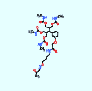 CNC(=O)OCC(COC(=O)NC)C(c1cccc(OCC(=O)NCCCCO/N=C/C(C)=O)c1)C(COC(=O)NC)COC(=O)NC